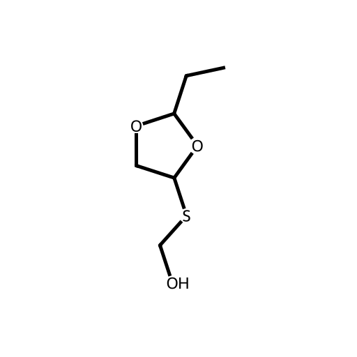 CCC1OCC(SCO)O1